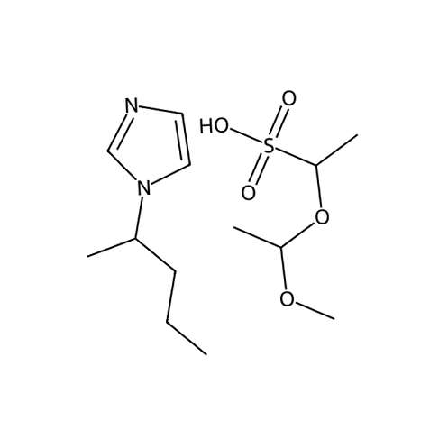 CCCC(C)n1ccnc1.COC(C)OC(C)S(=O)(=O)O